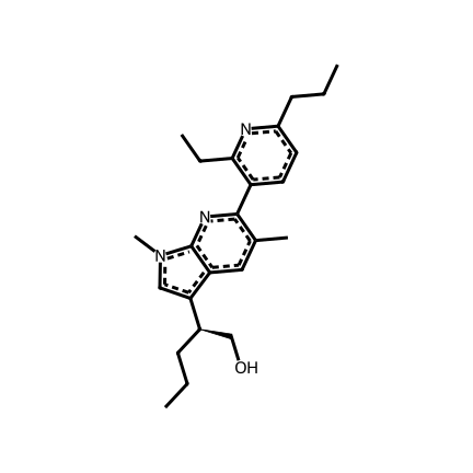 CCCc1ccc(-c2nc3c(cc2C)c([C@@H](CO)CCC)cn3C)c(CC)n1